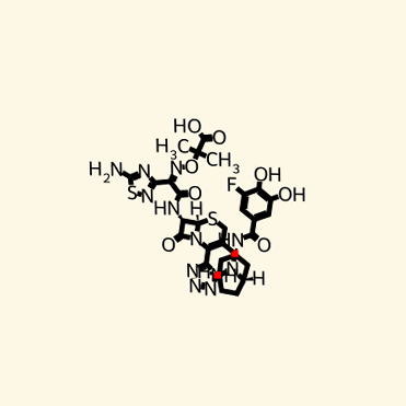 CC(C)(O/N=C(\C(=O)N[C@@H]1C(=O)N2C(c3nnn[nH]3)=C(CN3[C@@H]4CC[C@H]3C[C@@H](NC(=O)c3cc(O)c(O)c(F)c3)C4)CS[C@H]12)c1nsc(N)n1)C(=O)O